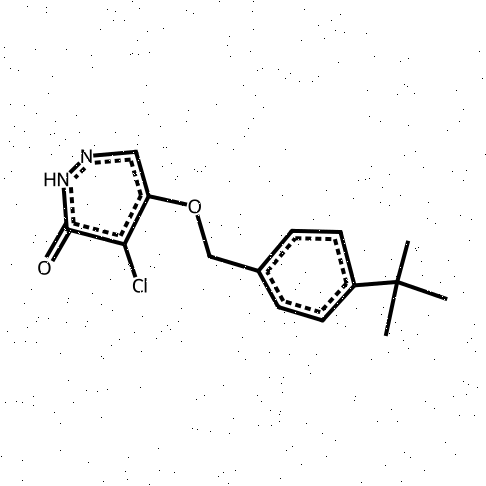 CC(C)(C)c1ccc(COc2cn[nH]c(=O)c2Cl)cc1